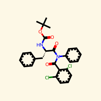 CC(C)(C)OC(=O)N[C@@H](Cc1ccccc1)C(=O)N(C(=O)c1c(Cl)cccc1Cl)c1ccccc1